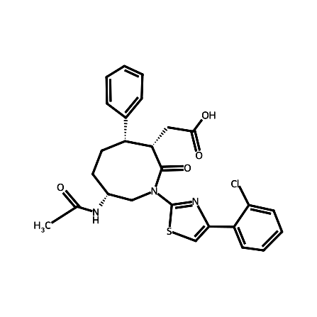 CC(=O)N[C@@H]1CC[C@H](c2ccccc2)[C@H](CC(=O)O)C(=O)N(c2nc(-c3ccccc3Cl)cs2)C1